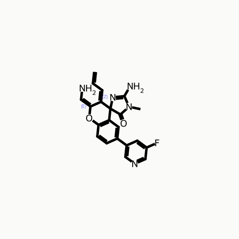 C=C/C=C1\C(=C/N)Oc2ccc(-c3cncc(F)c3)cc2C12N=C(N)N(C)C2=O